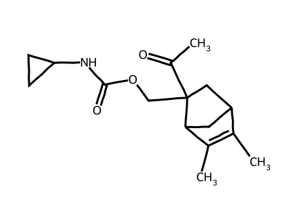 CC(=O)C1(COC(=O)NC2CC2)CC2CC1C(C)=C2C